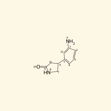 Nc1cccc(C2CNC(=O)C2)c1